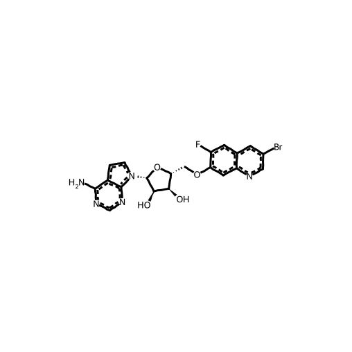 Nc1ncnc2c1ccn2[C@@H]1O[C@H](COc2cc3ncc(Br)cc3cc2F)[C@@H](O)[C@H]1O